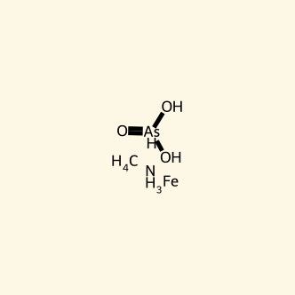 C.N.O=[AsH](O)O.[Fe]